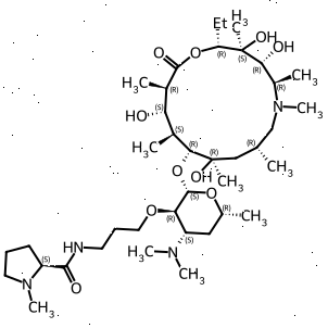 CC[C@H]1OC(=O)[C@H](C)[C@@H](O)[C@H](C)[C@@H](O[C@@H]2O[C@H](C)C[C@H](N(C)C)[C@H]2OCCCNC(=O)[C@@H]2CCCN2C)[C@](C)(O)C[C@@H](C)CN(C)[C@H](C)[C@@H](O)[C@]1(C)O